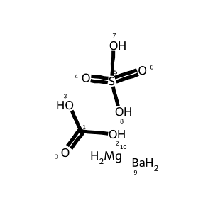 O=C(O)O.O=S(=O)(O)O.[BaH2].[MgH2]